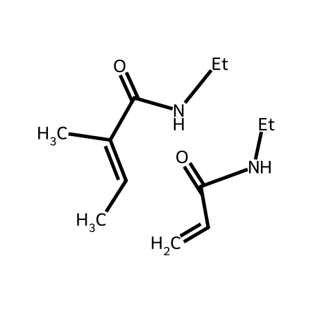 C=CC(=O)NCC.CC=C(C)C(=O)NCC